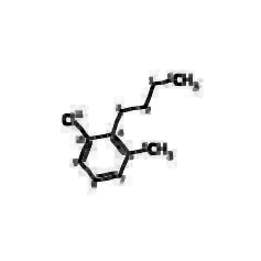 CCC[CH]c1c(C)cccc1Cl